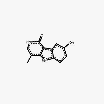 Cc1c[nH]c(=O)c2c1[nH]c1ccc(O)cc12